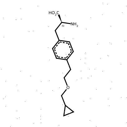 N[C@@H](Cc1ccc(CCOCC2CC2)cc1)C(=O)O